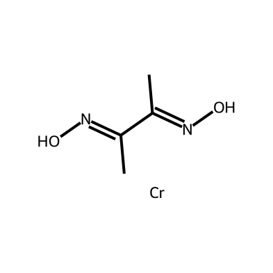 CC(=N\O)/C(C)=N/O.[Cr]